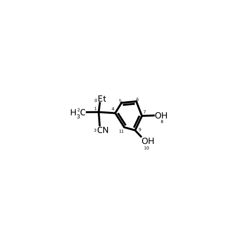 CCC(C)(C#N)c1ccc(O)c(O)c1